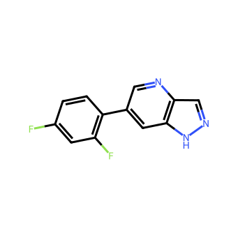 Fc1ccc(-c2cnc3cn[nH]c3c2)c(F)c1